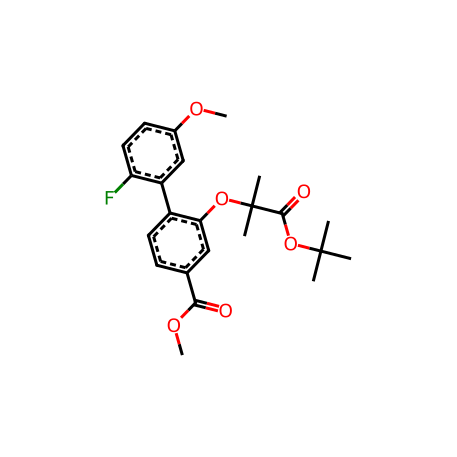 COC(=O)c1ccc(-c2cc(OC)ccc2F)c(OC(C)(C)C(=O)OC(C)(C)C)c1